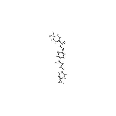 CC(=NOCc1ccc(C(F)(F)F)cc1)c1ccc(OCC(=O)N2CCC3(CC2)CC3)cc1